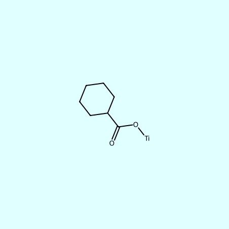 O=C([O][Ti])C1CCCCC1